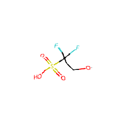 [O]CC(F)(F)S(=O)(=O)O